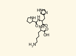 NCCCCC(NC(=O)C(Cc1c[nH]cn1)NC(=O)C1CCCN1)C(=O)O